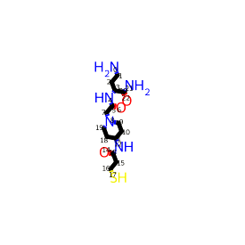 NCCC(NC(=O)CN1CCC(NC(=O)CCS)CC1)C(N)=O